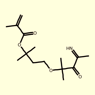 C=C(C)C(=O)OC(C)(C)CCOC(C)(C)C(=O)C(C)=N